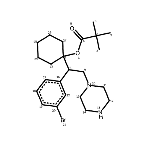 CC(C)(C)C(=O)OC1(C(CN2CCNCC2)c2cccc(Br)c2)CCCCC1